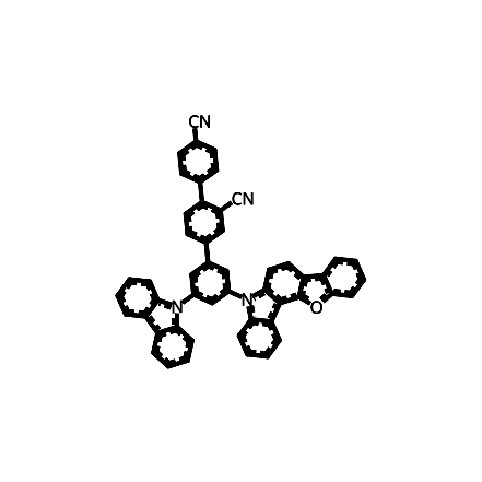 N#Cc1ccc(-c2ccc(-c3cc(-n4c5ccccc5c5ccccc54)cc(-n4c5ccccc5c5c6oc7ccccc7c6ccc54)c3)cc2C#N)cc1